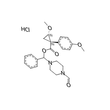 COc1ccc([C@@]2(C(=O)OC(c3ccccc3)N3CCN(C=O)CC3)C[C@@H]2OC)cc1.Cl